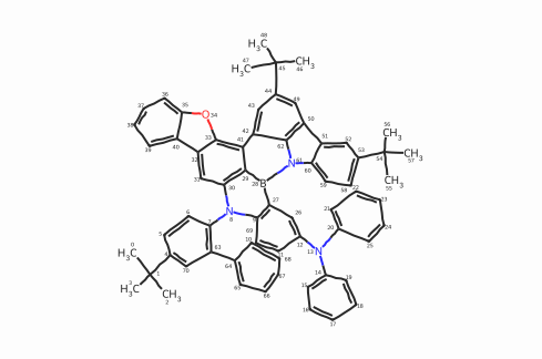 CC(C)(C)c1ccc(N2c3ccc(N(c4ccccc4)c4ccccc4)cc3B3c4c2cc2c(oc5ccccc52)c4-c2cc(C(C)(C)C)cc4c5cc(C(C)(C)C)ccc5n3c24)c(-c2ccccc2)c1